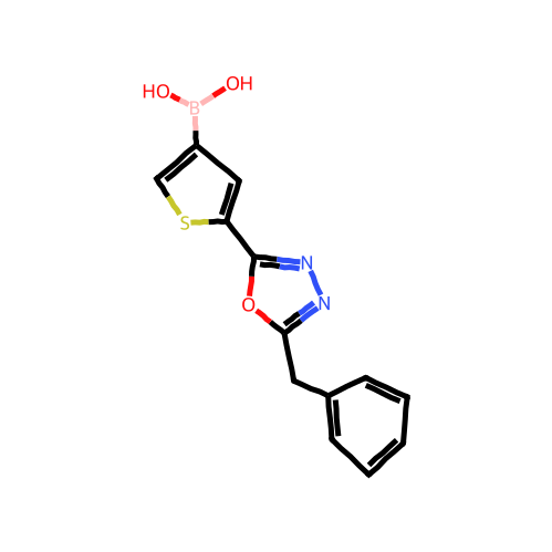 OB(O)c1csc(-c2nnc(Cc3ccccc3)o2)c1